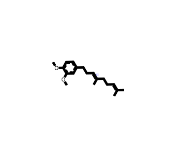 COc1ccc(CC/C=C(\C)CCC=C(C)C)cc1OC